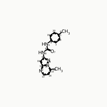 Cc1ccc(NC(=O)Nc2cc3nccc(C)n3n2)cc1